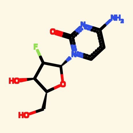 Nc1ccn([C@@H]2O[C@H](CO)[C@@H](O)C2F)c(=O)n1